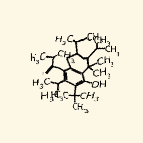 [C]=C(c1c2c(c(O)c(C(C)(C)C)c1C(C)C)C(C)(C)C(C(C)C)C(C(C)C)C2)C(C)C